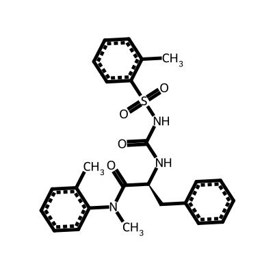 Cc1ccccc1N(C)C(=O)[C@H](Cc1ccccc1)NC(=O)NS(=O)(=O)c1ccccc1C